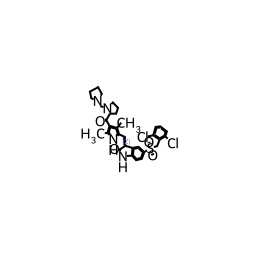 Cc1[nH]c(/C=C2\C(=O)Nc3ccc(S(=O)(=O)Cc4c(Cl)cccc4Cl)cc32)c(C)c1C(=O)C1CCCN1CN1CCCC1